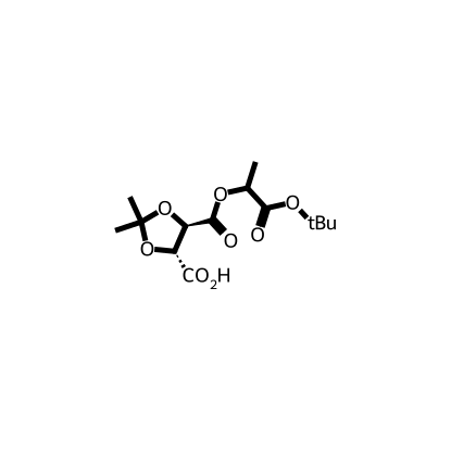 CC(OC(=O)[C@@H]1OC(C)(C)O[C@H]1C(=O)O)C(=O)OC(C)(C)C